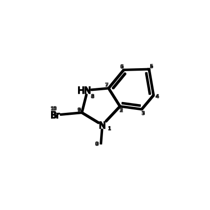 CN1c2ccccc2NC1Br